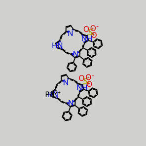 O=S(=O)([O-])c1c(-c2ccccc2)c2[nH]c1cc1nc(cc3ccc(cc4nc(c2-c2ccccc2)C(c2ccccc2)=C4c2ccccc2)[nH]3)C=C1.O=S(=O)([O-])c1c(-c2ccccc2)c2[nH]c1cc1nc(cc3ccc(cc4nc(c2-c2ccccc2)C(c2ccccc2)=C4c2ccccc2)[nH]3)C=C1.[Pd+2]